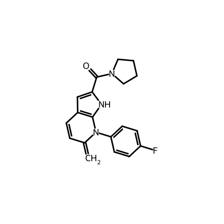 C=C1C=Cc2cc(C(=O)N3CCCC3)[nH]c2N1c1ccc(F)cc1